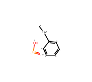 O=PO.[CH3][Ca][c]1ccccc1